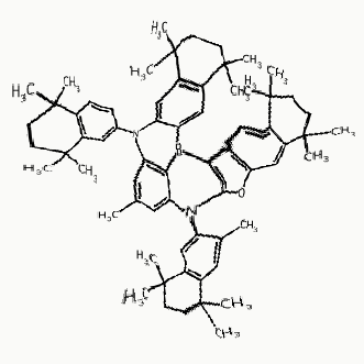 Cc1cc2c3c(c1)N(c1cc4c(cc1C)C(C)(C)CCC4(C)C)c1oc4cc5c(cc4c1B3c1cc3c(cc1N2c1ccc2c(c1)C(C)(C)CCC2(C)C)C(C)(C)CCC3(C)C)C(C)(C)CCC5(C)C